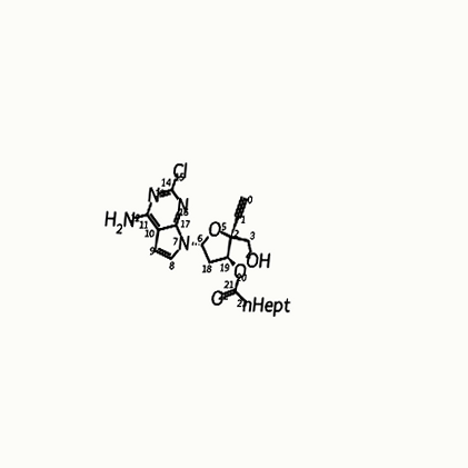 C#C[C@]1(CO)O[C@@H](n2ccc3c(N)nc(Cl)nc32)C[C@@H]1OC(=O)CCCCCCC